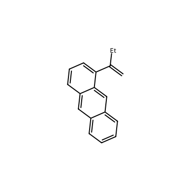 C=C(CC)c1cccc2cc3ccccc3cc12